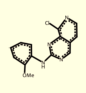 COc1c[c]ccc1Nc1ncc2ccnc(Cl)c2n1